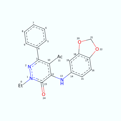 CCn1nc(-c2ccccc2)c(C(C)=O)c(Nc2ccc3c(c2)OCO3)c1=O